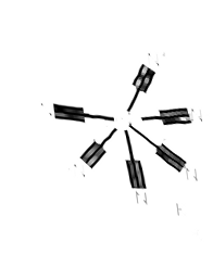 N#[C][Ir-2]([C]#N)([C]#N)([C]#N)([C]#N)[C]#N.[K+].[K+]